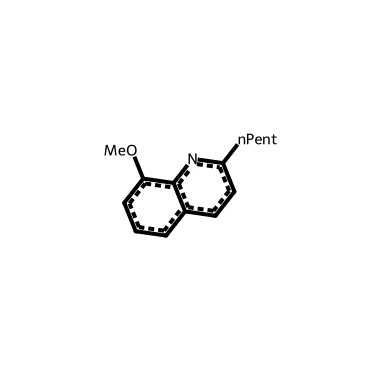 CCCCCc1ccc2cccc(OC)c2n1